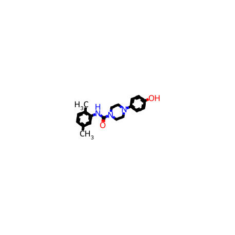 Cc1ccc(C)c(NC(=O)N2CCN(c3ccc(O)cc3)CC2)c1